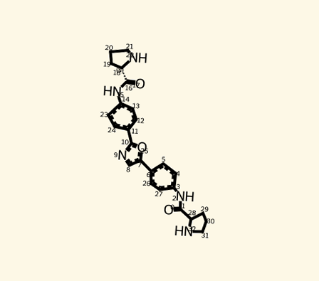 O=C(Nc1ccc(-c2cnc(-c3ccc(NC(=O)[C@@H]4CCCN4)cc3)o2)cc1)C1CCCN1